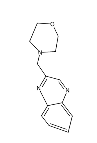 c1ccc2nc(CN3CCOCC3)cnc2c1